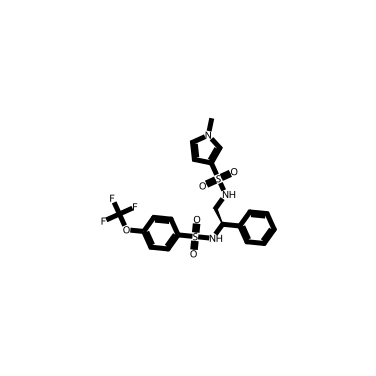 Cn1ccc(S(=O)(=O)NC[C@H](NS(=O)(=O)c2ccc(OC(F)(F)F)cc2)c2ccccc2)c1